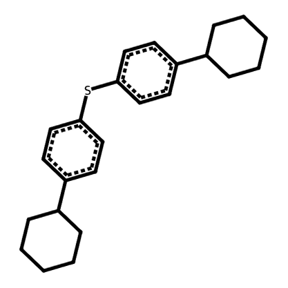 c1cc(C2CCCCC2)ccc1Sc1ccc(C2CCCCC2)cc1